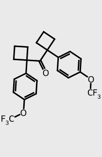 O=C(C1(c2ccc(OC(F)(F)F)cc2)CCC1)C1(c2ccc(OC(F)(F)F)cc2)CCC1